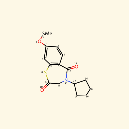 CSOc1ccc2c(c1)SC(=O)CN(C1CCCC1)C2=O